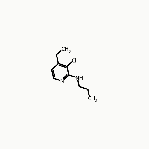 CCCNc1nccc(CC)c1Cl